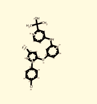 CC(C)(O)c1cc(Nc2cc(Oc3cc(C(F)(F)F)nn3-c3ccc(Cl)cc3)ccn2)ccn1